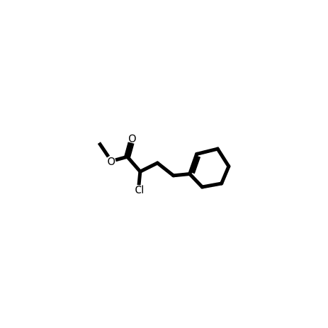 COC(=O)C(Cl)CCC1=CCCCC1